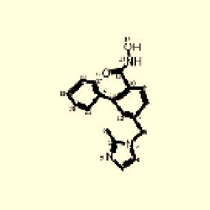 Cc1nccn1Cc1ccc(C(=O)NO)c(-c2ccccc2)c1